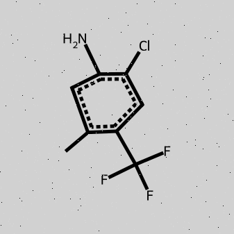 Cc1cc(N)c(Cl)cc1C(F)(F)F